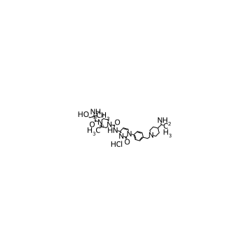 CC(N)C1CCN(Cc2ccc(-n3ccc(NC(=O)N4CCN(C(=O)[C@@](C)(N)CO)[C@H](C)C4)nc3=O)cc2)CC1.Cl